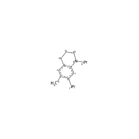 Cc1cc2c(cc1C(C)C)N(C(C)C)CCC2